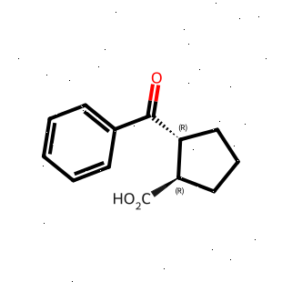 O=C(O)[C@@H]1CCC[C@H]1C(=O)c1ccccc1